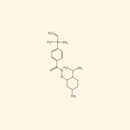 C=C[Si](C)(C)c1ccc(C(=O)OO[C]2CC(C)CCC2C(C)C)cc1